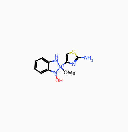 CO[N+]1(c2csc(N)n2)Nc2ccccc2[N+]1O